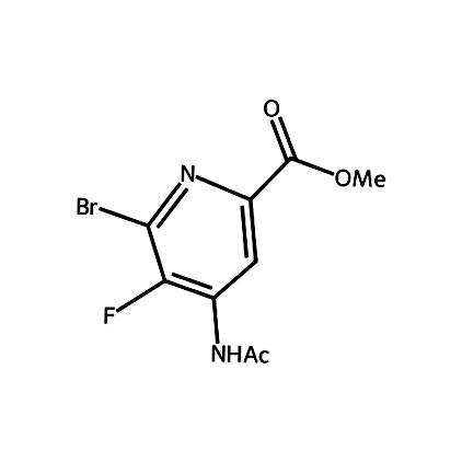 COC(=O)c1cc(NC(C)=O)c(F)c(Br)n1